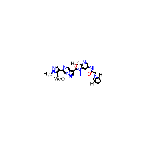 COCc1c(-c2cn3ncc(C(=O)Nc4cc(NC(=O)CN5C[C@@H]6CC[C@H]5C6)cnc4C)c3cn2)cnn1C